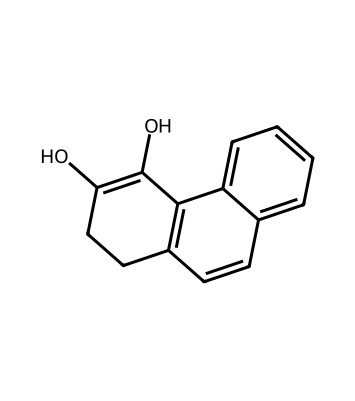 OC1=C(O)c2c(ccc3ccccc23)CC1